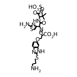 CC1(C)C(NC(=O)C(=NOC(COc2ccc3nc(SCCCN)[nH]c3c2)C(=O)O)c2csc(N)n2)C(=O)N1OS(=O)(=O)O